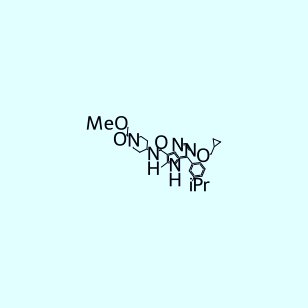 COCC(=O)N1CCC(NC(=O)c2c(C)[nH]c3c(-c4cc(C(C)C)ccc4OCC4CC4)ncnc23)CC1